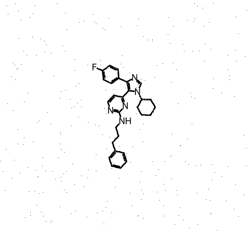 Fc1ccc(-c2ncn(C3CCCCC3)c2-c2ccnc(NCCCc3ccccc3)n2)cc1